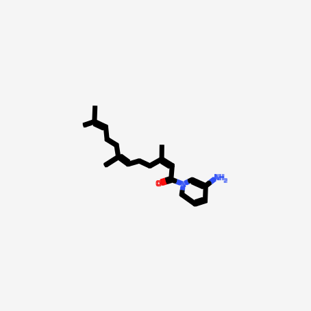 CC(C)=CCCC(C)=CCCC(C)=CC(=O)N1C=C(N)C=CC1